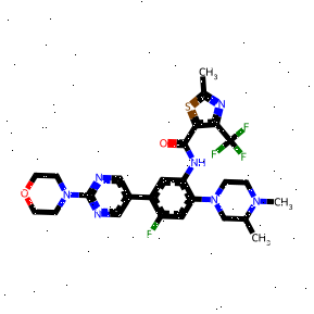 Cc1nc(C(F)(F)F)c(C(=O)Nc2cc(-c3cnc(N4CCOCC4)nc3)c(F)cc2N2CCN(C)C(C)C2)s1